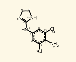 Nc1c(Cl)cc(NC2=NCCN2)cc1Cl